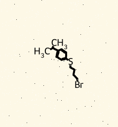 CC(C)c1ccc(SCCCCBr)cc1